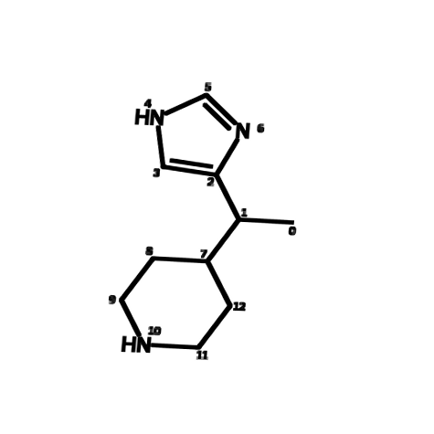 CC(c1c[nH]cn1)C1CCNCC1